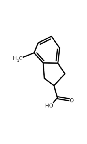 Cc1cccc2c1CC(C(=O)O)C2